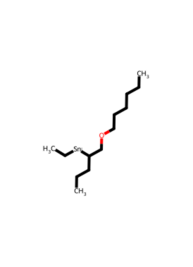 CCCCCCOC[CH](CCC)[Sn][CH2]C